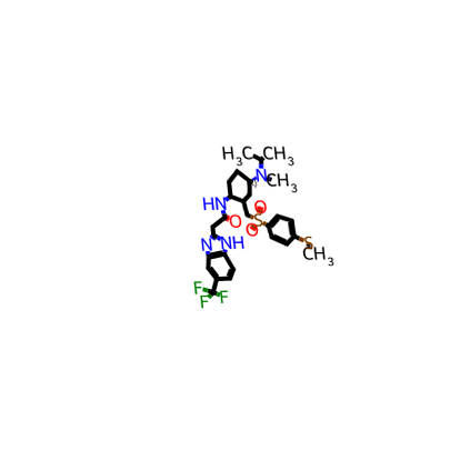 CSc1ccc(S(=O)(=O)CC2C[C@H](N(C)C(C)C)CCC2NC(=O)Cc2nc3cc(C(F)(F)F)ccc3[nH]2)cc1